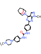 CN1CCN(c2ccc(NC(=O)Nc3ccc(-c4nc(N5CC6CCC(C5)O6)c5cnn(C)c5n4)cc3)cc2)CC1